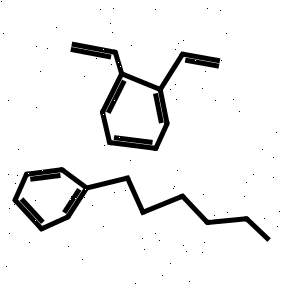 C=Cc1ccccc1C=C.CCCCCCc1ccccc1